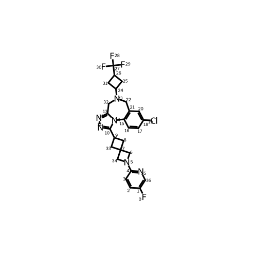 Fc1ccc(N2CC3(CC(c4nnc5n4-c4ccc(Cl)cc4CN(C4CC(C(F)(F)F)C4)C5)C3)C2)nc1